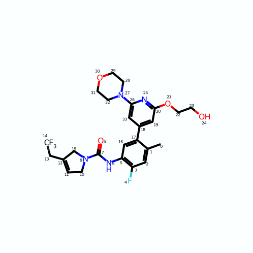 Cc1cc(F)c(NC(=O)N2CC=C(CC(F)(F)F)C2)cc1-c1cc(OCCO)nc(N2CCOCC2)c1